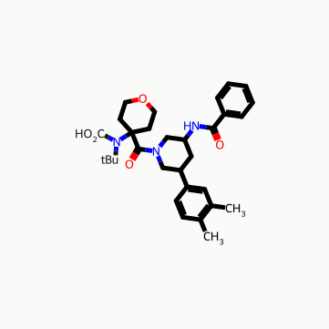 Cc1ccc(C2CC(NC(=O)c3ccccc3)CN(C(=O)C3(N(C(=O)O)C(C)(C)C)CCOCC3)C2)cc1C